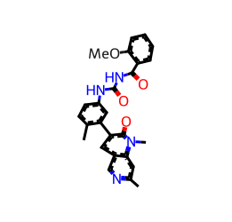 COc1ccccc1C(=O)NC(=O)Nc1ccc(C)c(-c2cc3cnc(C)cc3n(C)c2=O)c1